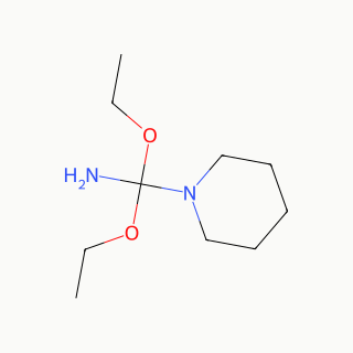 CCOC(N)(OCC)N1CCCCC1